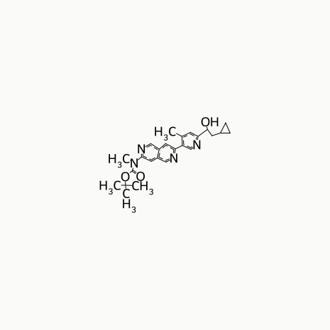 Cc1cc(C(O)CC2CC2)ncc1-c1cc2cnc(N(C)C(=O)OC(C)(C)C)cc2cn1